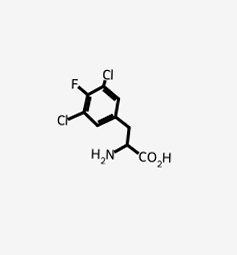 NC(Cc1cc(Cl)c(F)c(Cl)c1)C(=O)O